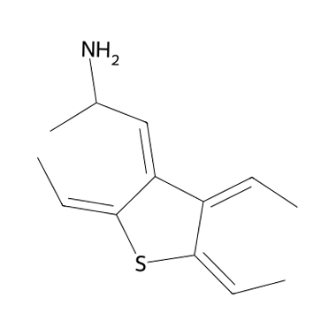 C/C=c1/c(=C/C(C)N)/c(=C\C)s/c1=C/C